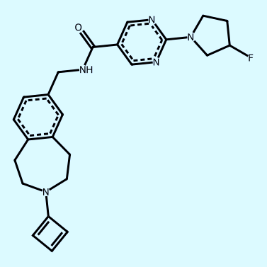 O=C(NCc1ccc2c(c1)CCN(C1=CC=C1)CC2)c1cnc(N2CCC(F)C2)nc1